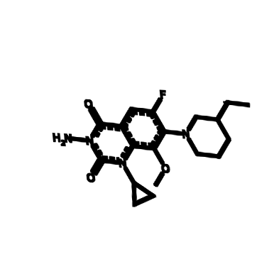 C[CH]C1CCCN(c2c(F)cc3c(=O)n(N)c(=O)n(C4CC4)c3c2OC)C1